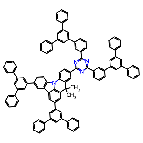 CC1(C)c2cc(-c3nc(-c4cccc(-c5cc(-c6ccccc6)cc(-c6ccccc6)c5)c4)nc(-c4cccc(-c5cc(-c6ccccc6)cc(-c6ccccc6)c5)c4)n3)ccc2-n2c3ccc(-c4cc(-c5ccccc5)cc(-c5ccccc5)c4)cc3c3cc(-c4cc(-c5ccccc5)cc(-c5ccccc5)c4)cc1c32